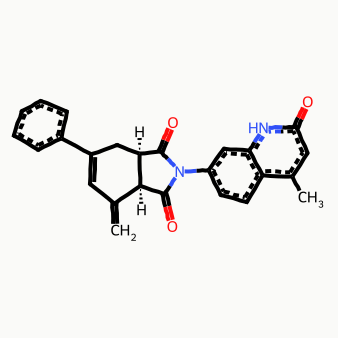 C=C1C=C(c2ccccc2)C[C@H]2C(=O)N(c3ccc4c(C)cc(=O)[nH]c4c3)C(=O)[C@@H]12